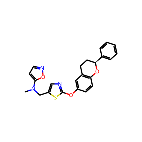 CN(Cc1cnc(Oc2ccc3c(c2)CC[C@@H](c2ccccc2)O3)s1)c1ccno1